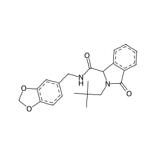 CC(C)(C)CN1C(=O)c2ccccc2C1C(=O)NCc1ccc2c(c1)OCO2